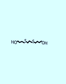 OCCCCSCCCSCCCCO